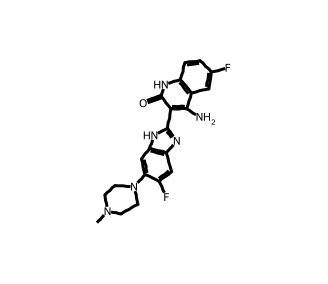 CN1CCN(c2cc3[nH]c(-c4c(N)c5cc(F)ccc5[nH]c4=O)nc3cc2F)CC1